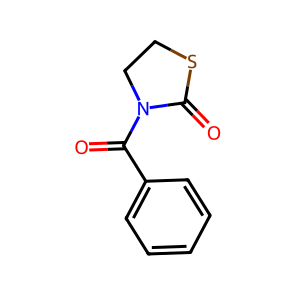 O=C1SCCN1C(=O)c1ccccc1